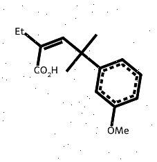 CCC(=CC(C)(C)c1cccc(OC)c1)C(=O)O